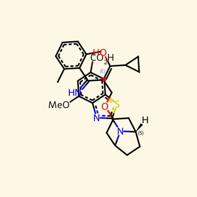 COc1cc(C(=O)O)cc2sc(N3C4CC[C@H]3CC(OC/C(C(=N)c3c(C)cccc3C)=C(/O)C3CC3)C4)nc12